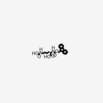 O=C(O)NCCCC[C@@H](NC(=O)OCC1c2ccccc2-c2ccccc21)C(=O)O